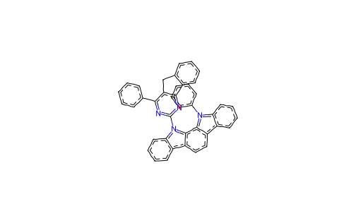 c1ccc(-c2nc(-n3c4ccccc4c4ccc5c6ccccc6n(-c6ccccc6)c5c43)nc3c2Cc2ccccc2-3)cc1